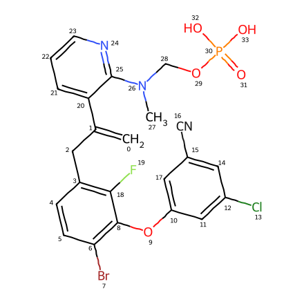 C=C(Cc1ccc(Br)c(Oc2cc(Cl)cc(C#N)c2)c1F)c1cccnc1N(C)COP(=O)(O)O